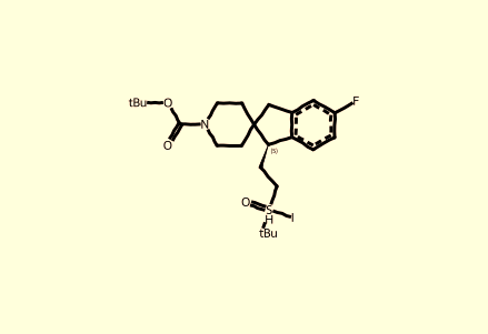 CC(C)(C)OC(=O)N1CCC2(CC1)Cc1cc(F)ccc1[C@H]2CC[SH](=O)(I)C(C)(C)C